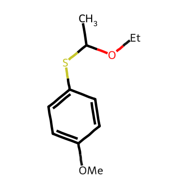 CCOC(C)Sc1ccc(OC)cc1